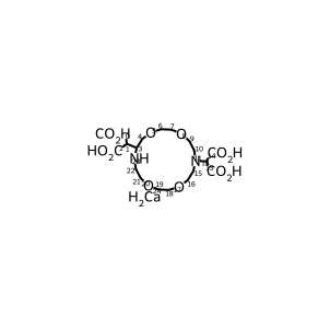 O=C(O)C(C(=O)O)C1COCCOCCN(C(C(=O)O)C(=O)O)CCOCCOCCN1.[CaH2]